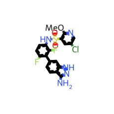 COc1ncc(Cl)cc1S(=O)(=O)Nc1ccc(F)c(-c2ccc3c(N)n[nH]c3c2)c1F